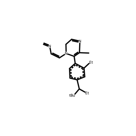 C=N/C=C\N1CC=NC(C)=C1c1ccc(C(CC)C(C)(C)C)cc1CC